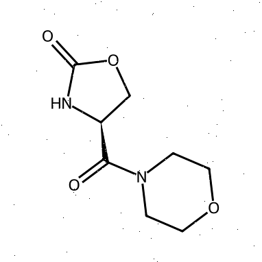 O=C1N[C@H](C(=O)N2CCOCC2)CO1